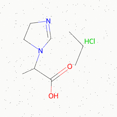 CC(C(=O)O)N1C=NCC1.CCC.Cl